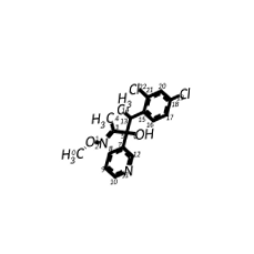 CON=C(C)C(O)(c1cccnc1)C(C)c1ccc(Cl)cc1Cl